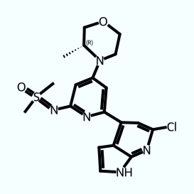 C[C@@H]1COCCN1c1cc(N=S(C)(C)=O)nc(-c2cc(Cl)nc3[nH]ccc23)c1